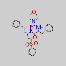 O=C(N[C@@H](CCc1ccccc1)CCS(=O)(=O)c1ccccc1)[C@H](Cc1ccccc1)NC(=O)N1CCOCC1